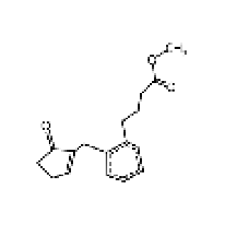 COC(=O)CCCc1ccccc1CC1=CCCC1=O